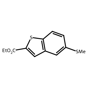 CCOC(=O)c1cc2cc(SC)ccc2s1